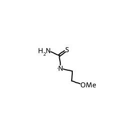 COCC[N]C(N)=S